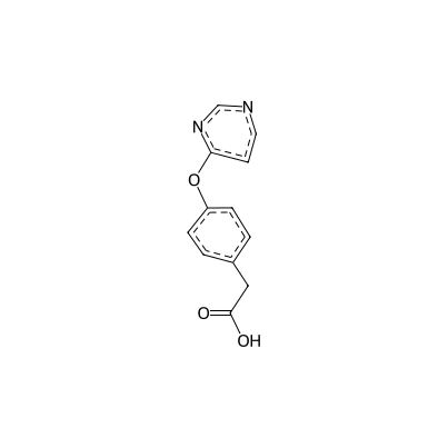 O=C(O)Cc1ccc(Oc2ccncn2)cc1